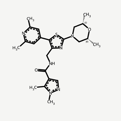 Cc1cc(-c2sc(N3C[C@@H](C)O[C@@H](C)C3)nc2CNC(=O)c2cnn(C)c2C)cc(C)n1